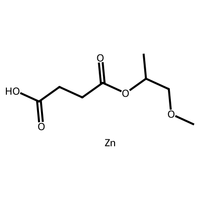 COCC(C)OC(=O)CCC(=O)O.[Zn]